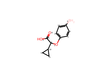 Bc1ccc(OC(C(=O)O)C2CC2)cc1